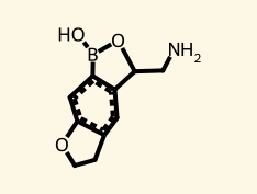 NCC1OB(O)c2cc3c(cc21)CCO3